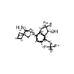 NC(=O)C1(COc2ccc(SC(F)(F)F)c3c2CC(F)(F)C3O)CCC1